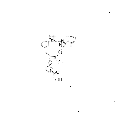 Cc1cccc(C)c1-c1cc2nc(n1)N[S+]([O-])c1cccc(c1)CCC([C@H]1C[C@@]3(CCCN(C(=O)CO)C3)C1)[C@H](CC(C)(C)C)CO2